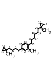 Cc1cc(CCCCC2(C)CC2)ccc1CCCCCCC1(C)CC1